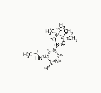 CCNc1cc(B2OC(C)(C)C(C)(C)O2)cnc1F